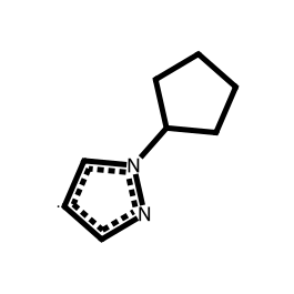 [c]1cnn(C2CCCC2)c1